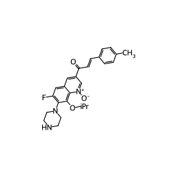 Cc1ccc(C=CC(=O)c2cc3cc(F)c(N4CCNCC4)c(OC(C)C)c3[n+]([O-])c2)cc1